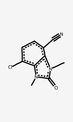 Cn1c(=O)n(C)c2c(C#N)ccc(Cl)c21